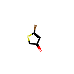 O=C1C=C(Br)SC1